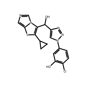 Oc1cc(-n2cc(C(O)c3c(C4CC4)sc4cncn34)nn2)ccc1Cl